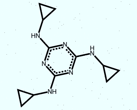 C1CC1Nc1nc(NC2CC2)nc(NC2CC2)n1